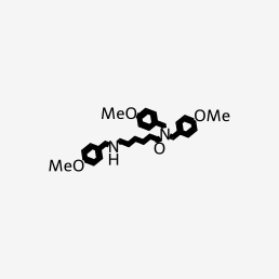 COc1ccc(CNCCCCCC(=O)N(Cc2ccc(OC)cc2)Cc2ccc(OC)cc2)cc1